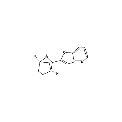 CN1C(c2cc3ncccc3o2)[C@H]2CC[C@@H]1C2